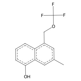 Cc1cc(COC(F)(F)F)c2cccc(O)c2c1